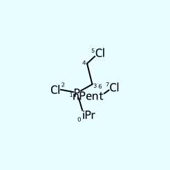 CC(C)P(Cl)CCCl.CCCCCCl